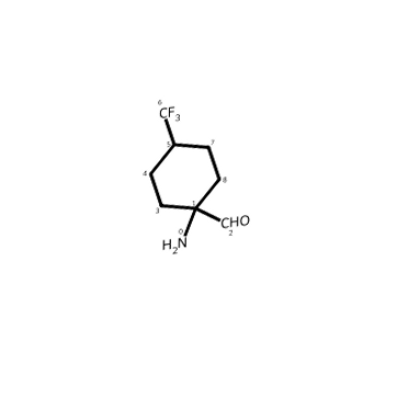 NC1(C=O)CCC(C(F)(F)F)CC1